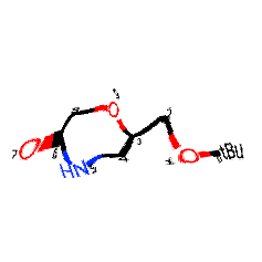 CC(C)(C)OCC1CNC(=O)CO1